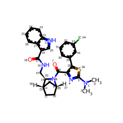 CN(C)c1nc(C(=O)N2[C@@H]3CC[C@@H](C3)[C@H]2CNC(=O)c2c[nH]c3ccccc23)c(-c2cccc(F)c2)s1